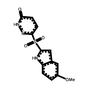 COc1ccc2[nH]c(S(=O)(=O)c3ccc(=O)[nH]n3)cc2c1